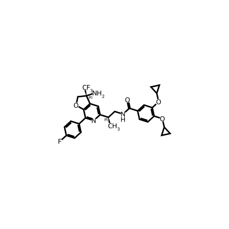 C[C@H](CNC(=O)c1ccc(OC2CC2)c(OC2CC2)c1)c1cc2c(c(-c3ccc(F)cc3)n1)OC[C@@]2(N)C(F)(F)F